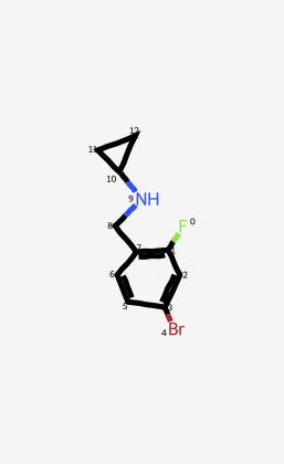 Fc1cc(Br)ccc1CNC1CC1